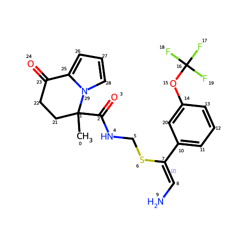 CC1(C(=O)NCS/C(=C\N)c2cccc(OC(F)(F)F)c2)CCC(=O)c2cccn21